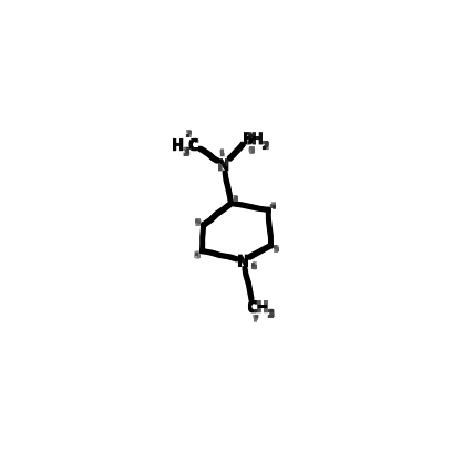 BN(C)C1CCN(C)CC1